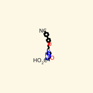 C[C@@H](NC(=O)O)C(=O)N1CCN(CCCOc2ccc(-c3ccc(C#N)cc3)cc2)CC1